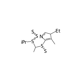 CCC1C=NC(S(=S)C(C)S(=S=S)C(C)C)=C1C